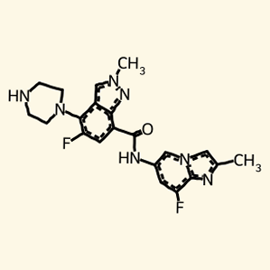 Cc1cn2cc(NC(=O)c3cc(F)c(N4CCNCC4)c4cn(C)nc34)cc(F)c2n1